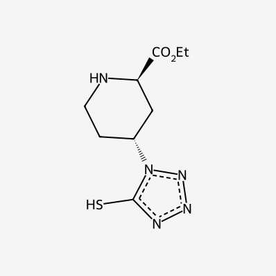 CCOC(=O)[C@H]1C[C@H](n2nnnc2S)CCN1